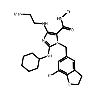 CCNC(=O)c1c(NCCNC)nc(NC2CCCCC2)n1Cc1cc(Cl)c2c(c1)CCO2